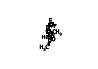 CCCCOC(=O)c1nc(C)c2cc(Oc3cc(F)cc(F)c3)ccc2c1O